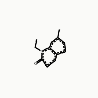 CCn1c(=O)ccc2ccc(C)cc21